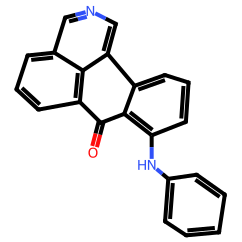 O=C1c2c(Nc3ccccc3)cccc2-c2cncc3cccc1c23